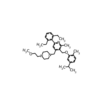 CCc1cccc(CC)c1-c1cc(CN2CCN(CCOC)CC2)c(COc2cc(C(C)C)ccc2C)c(C)n1